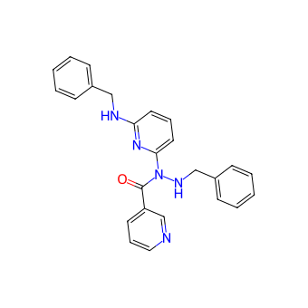 O=C(c1cccnc1)N(NCc1ccccc1)c1cccc(NCc2ccccc2)n1